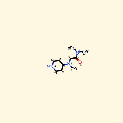 CCCN(CCC)C(=O)CN(C(C)C)C1CCNCC1